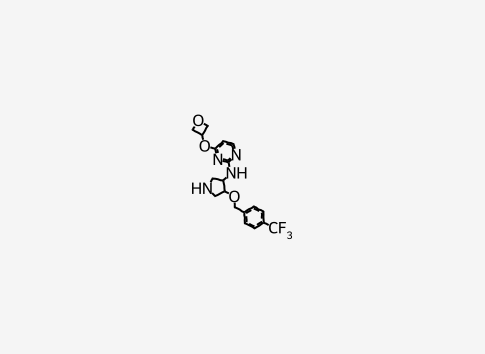 FC(F)(F)c1ccc(COC2CNCC2Nc2nccc(OC3COC3)n2)cc1